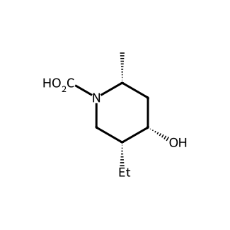 CC[C@@H]1CN(C(=O)O)[C@H](C)C[C@@H]1O